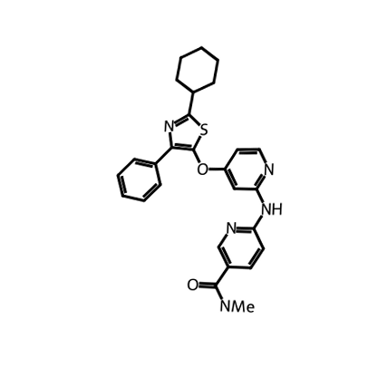 CNC(=O)c1ccc(Nc2cc(Oc3sc(C4CCCCC4)nc3-c3ccccc3)ccn2)nc1